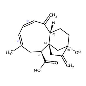 C=C1/C=C\C=C(\C)C[C@H](C(=O)O)[C@]23CC(=C)[C@](O)(CC[C@@H]12)C3